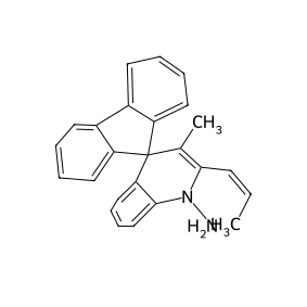 C/C=C\C1=C(C)C2(c3ccccc3-c3ccccc32)c2ccccc2N1N